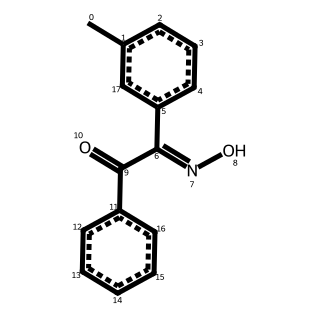 Cc1cccc(/C(=N\O)C(=O)c2ccccc2)c1